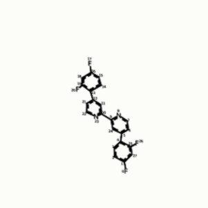 Fc1ccc(-c2ccnc(-c3cc(-c4ccc(F)cc4F)ccn3)c2)c(F)c1